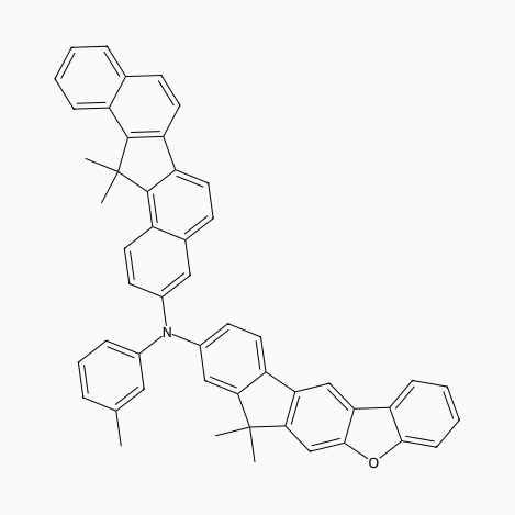 Cc1cccc(N(c2ccc3c(c2)C(C)(C)c2cc4oc5ccccc5c4cc2-3)c2ccc3c4c(ccc3c2)-c2ccc3ccccc3c2C4(C)C)c1